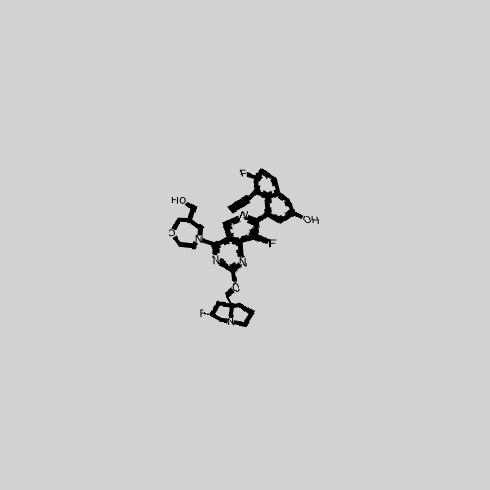 C#Cc1c(F)ccc2cc(O)cc(-c3ncc4c(N5CCOCC(CO)C5)nc(OC[C@@]56CCCN5C[C@H](F)C6)nc4c3F)c12